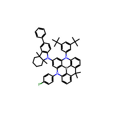 CC(C)(C)c1cc(N2c3cc(N4c5ccc(-c6ccccc6)cc5C5(C)CCCCC45C)cc4c3B3c5c(cccc5C(C)(C)c5cccc2c53)N4c2ccc(F)cc2)cc(C(C)(C)C)c1